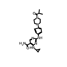 CC(C)C(=O)N1CCN(c2ccc(Nc3ncc(C(N)=O)c(NC4CC4)n3)cc2)CC1